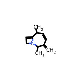 C=C1C=CC(C)C2=CCN2C1C